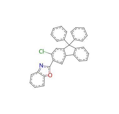 Clc1cc2c(cc1-c1nc3ccccc3o1)-c1ccccc1C2(c1ccccc1)c1ccccc1